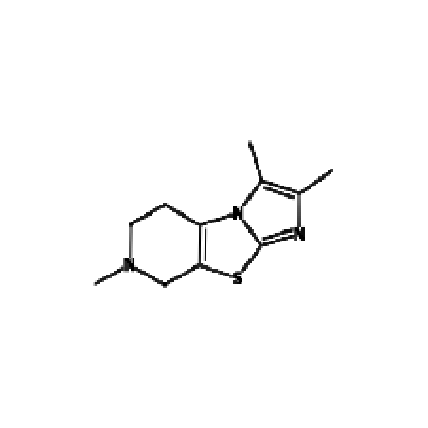 Cc1nc2sc3c(n2c1C)CCN(C)C3